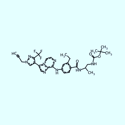 C#CCn1cc(-c2cnc3c(Nc4ccc(C(=O)NC(C)CNC(=O)OC(C)(C)C)c(CC)c4)nccn23)c(C(F)(F)F)n1